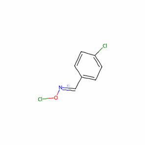 ClO/N=C/c1ccc(Cl)cc1